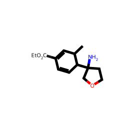 CCOC(=O)C1=CC(C)C(C2(N)CCOC2)C=C1